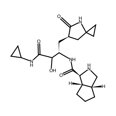 O=C(NC1CC1)C(O)[C@H](C[C@@H]1CC2(CC2)NC1=O)NC(=O)[C@H]1NC[C@@H]2CCC[C@@H]21